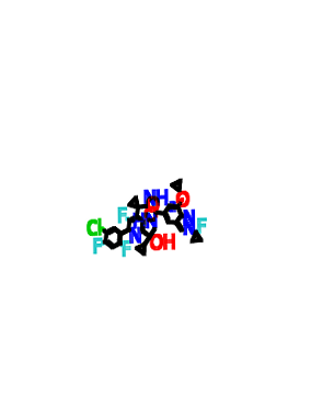 NC(=O)C1(c2cc([C@@](O)(CNC(=O)c3cc(OC4CC4)c4nn(C5(F)CC5)cc4c3)C3CC3)nc(-c3cc(Cl)c(F)cc3F)c2F)CC1